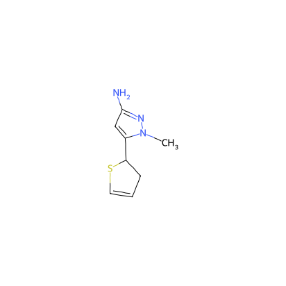 Cn1nc(N)cc1C1CC=CS1